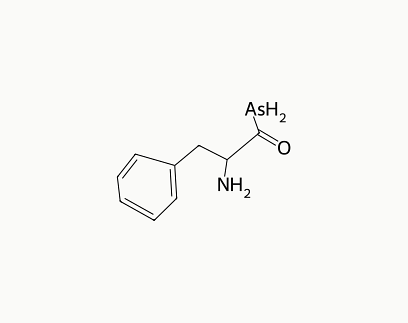 NC(Cc1ccccc1)C(=O)[AsH2]